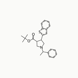 CC(c1ccccc1)N1CC(C(=O)OC(C)(C)C)C(c2cc3ccccc3s2)C1